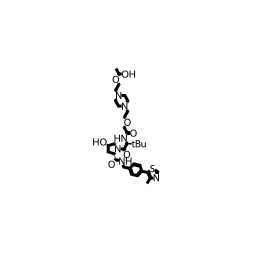 Cc1ncsc1-c1ccc(CNC(=O)[C@@H]2C[C@@H](O)CN2C(=O)[C@@H](NC(=O)COCCN2CCN(CCOC(C)O)CC2)C(C)(C)C)cc1